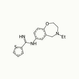 CCN1CCOc2ccc(NC(=N)c3cccs3)cc2C1